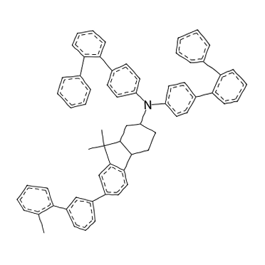 Cc1ccccc1-c1cccc(-c2ccc3c(c2)C(C)(C)C2CC(N(c4ccc(-c5ccccc5-c5ccccc5)cc4)c4ccc(-c5ccccc5-c5ccccc5)cc4)CCC32)c1